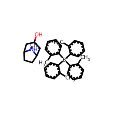 C[NH+]1C2CCC1CC(O)C2.Cc1ccccc1[B-](c1ccccc1C)(c1ccccc1C)c1ccccc1C